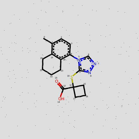 Cc1ccc(-n2cnnc2SC2(C(=O)O)CCC2)c2c1CCCC2